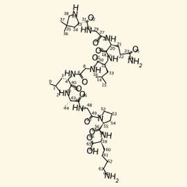 CC(C)C[C@H](NC(=O)CNC(=O)[C@H](CC(C)C)NC(=O)[C@H](CCC(N)=O)NC(=O)CNC(=O)[C@@H]1CC(C)(C)CN1)C(=O)N[C@@H](C)C(=O)NCC(=O)N1CCC[C@H]1C(=O)N[C@@H](CCCCN)C(=O)O